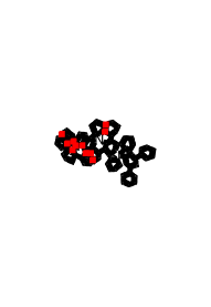 c1ccc(-c2cc(-c3ccccc3)cc([Si](c3ccccc3)(c3ccccc3)c3cc(-c4ccccc4)c(-n4c5ccccc5c5cc(-n6c7ccccc7c7cccc(-c8ccccc8-c8cccc9c8sc8ccccc89)c76)ccc54)c(-c4ccccc4)c3)c2)cc1